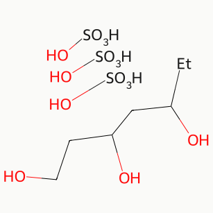 CCC(O)CC(O)CCO.O=S(=O)(O)O.O=S(=O)(O)O.O=S(=O)(O)O